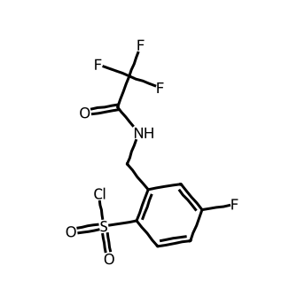 O=C(NCc1cc(F)ccc1S(=O)(=O)Cl)C(F)(F)F